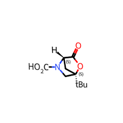 CC(C)(C)[C@]12C[C@@H](C(=O)O1)N(C(=O)O)C2